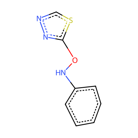 c1ccc(NOc2nncs2)cc1